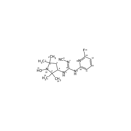 CC1(C)CC(NC(=NC#N)Nc2cccc(F)n2)C(C)(C)N1O